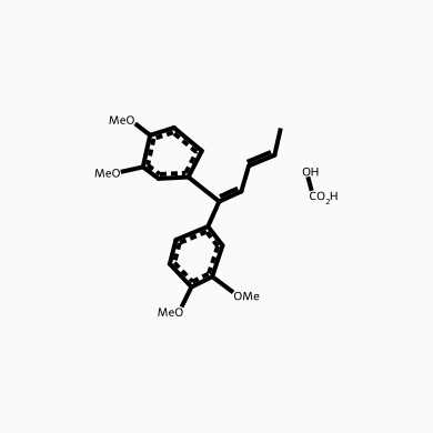 C/C=C/C=C(c1ccc(OC)c(OC)c1)c1ccc(OC)c(OC)c1.O=C(O)O